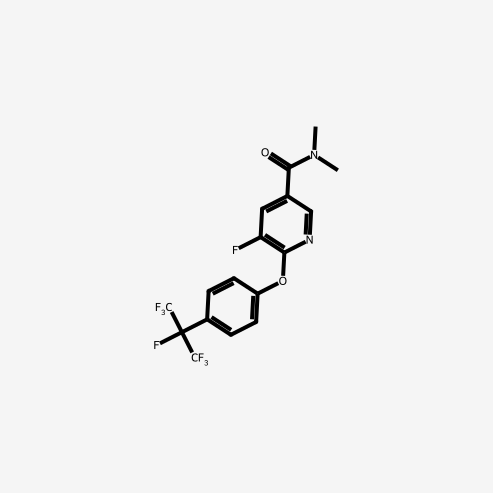 CN(C)C(=O)c1cnc(Oc2ccc(C(F)(C(F)(F)F)C(F)(F)F)cc2)c(F)c1